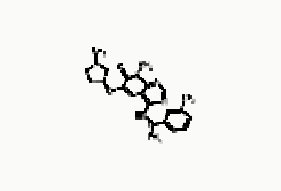 C[C@@H](Nc1ncnc2c1cc(OC1CCN(C)C1)c(=O)n2C)c1cccc(C(F)(F)F)c1